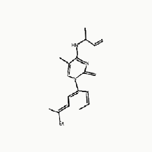 C=CC(C)NC1=NC(=C)N(C(/C=C\C)=C/C=C(\C)CC)C=C1C